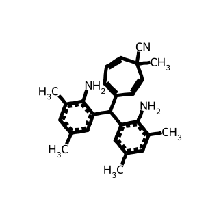 Cc1cc(C)c(N)c(C(C2=CC=CC(C)(C#N)C=C2)c2cc(C)cc(C)c2N)c1